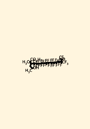 CC(C(=O)O)=C(CC(C)O)C(F)(F)C(F)(F)C(F)(F)C(F)(F)C(F)(F)C(F)(F)C(F)(F)C(F)(F)C(F)(F)C(F)(F)C(F)(F)C(F)(C(F)(F)F)C(F)(F)C(F)(F)F